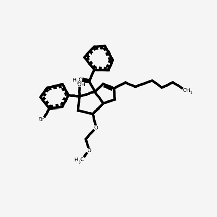 C=C(c1ccccc1)C12C=C(CCCCCC)CC1C(OCOC)CC2(O)c1cccc(Br)c1